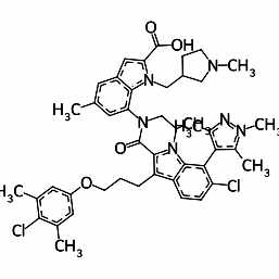 Cc1cc(N2CC(C)n3c(c(CCCOc4cc(C)c(Cl)c(C)c4)c4ccc(Cl)c(-c5c(C)nn(C)c5C)c43)C2=O)c2c(c1)cc(C(=O)O)n2CC1CCN(C)C1